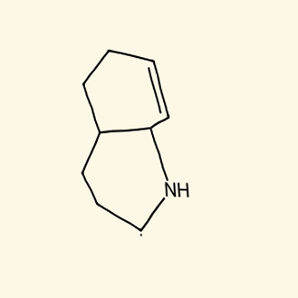 [CH]1CCC2CCC=CC2N1